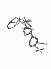 C[C@@H](OC1CC2CCC(C1)N2C(=O)OC(C)(C)C)c1nc(-c2ccc(S(C)(=O)=O)c(F)c2)no1